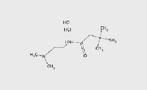 CN(C)CCNC(=O)CC(C)(C)N.Cl.Cl